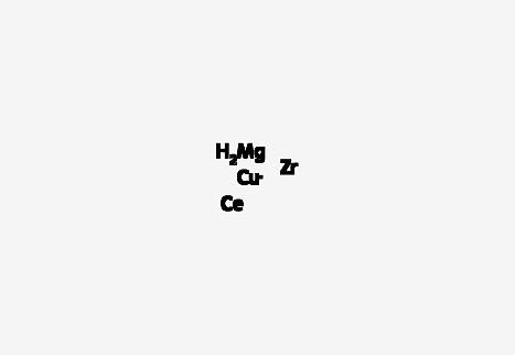 [Ce].[Cu].[MgH2].[Zr]